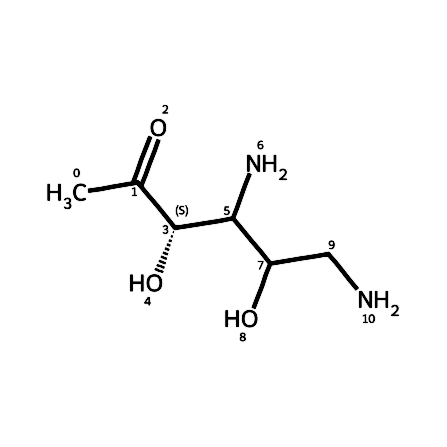 CC(=O)[C@@H](O)C(N)C(O)CN